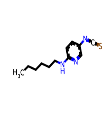 CCCCCCNc1ccc(N=C=S)cn1